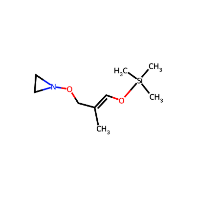 CC(=CO[Si](C)(C)C)CON1CC1